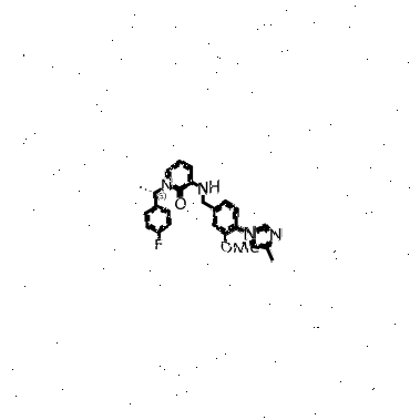 COc1cc(CNc2cccn([C@@H](C)c3ccc(F)cc3)c2=O)ccc1-n1cnc(C)c1